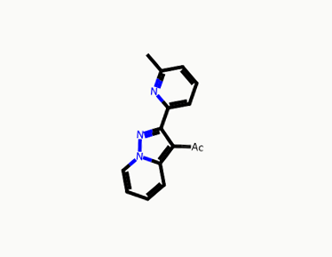 CC(=O)c1c(-c2cccc(C)n2)nn2ccccc12